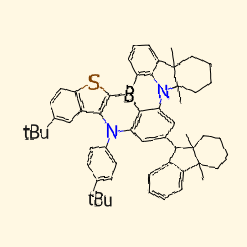 CC(C)(C)c1ccc(N2c3cc(C4c5ccccc5C5(C)CCCCC45C)cc4c3B(c3cccc5c3N4C3(C)CCCCC53C)c3sc4ccc(C(C)(C)C)cc4c32)cc1